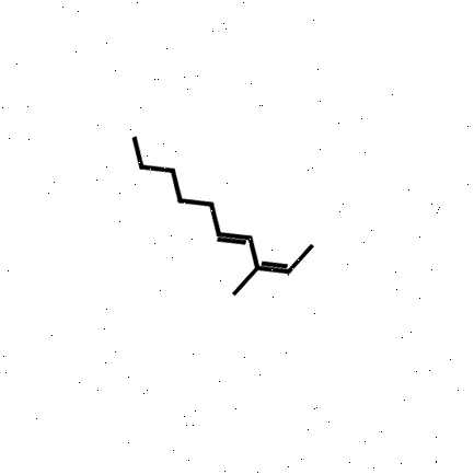 C/[C]=C(C)\C=C\CCCCC